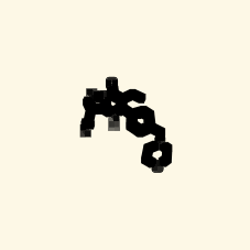 CCc1c(-c2ccc(CN3CCOCC3)cc2)[nH]c2c(C#N)cnn2c1=O